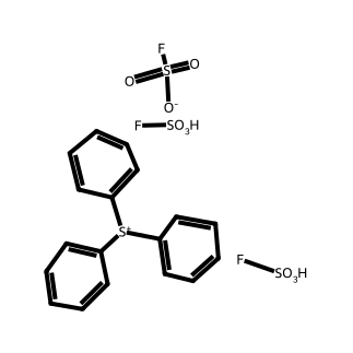 O=S(=O)(O)F.O=S(=O)(O)F.O=S(=O)([O-])F.c1ccc([S+](c2ccccc2)c2ccccc2)cc1